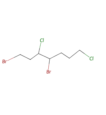 ClCCCC(Br)C(Cl)CCBr